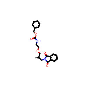 C[C@@H](COCCNC(=O)OCc1ccccc1)CN1C(=O)c2ccccc2C1=O